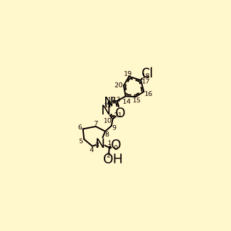 O=C(O)N1CCCCC1Cc1nnc(-c2ccc(Cl)cc2)o1